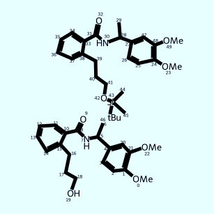 COc1ccc(C(C)NC(=O)c2ccccc2CCCO)cc1OC.COc1ccc(C(C)NC(=O)c2ccccc2CCCO[Si](C)(C)C(C)(C)C)cc1OC